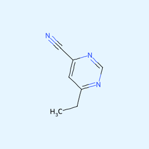 CCc1cc(C#N)ncn1